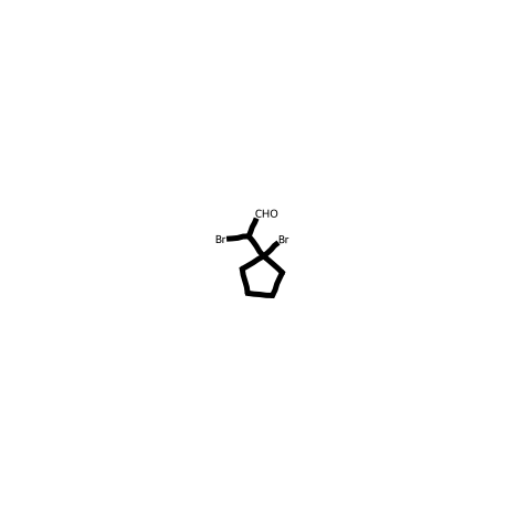 O=CC(Br)C1(Br)CCCC1